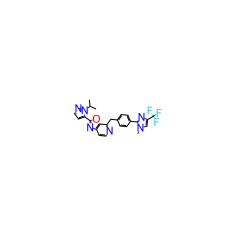 CC(C)n1nccc1-c1nc2ccnc(Cc3ccc(-c4nc(C(F)(F)F)cn4C)cc3)c2o1